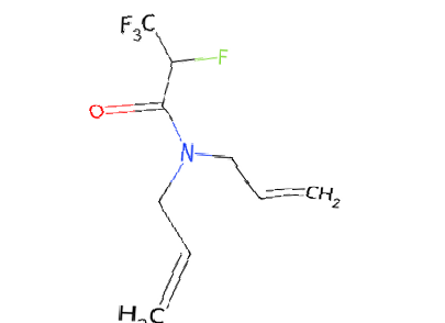 C=CCN(CC=C)C(=O)C(F)C(F)(F)F